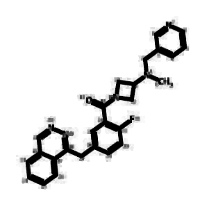 CN(Cc1cccnc1)C1CN(C(=O)c2cc(Cc3nncc4ccccc34)ccc2F)C1